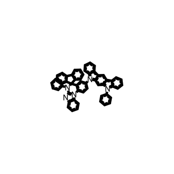 c1ccc(N2c3nc4ccccc4n3-c3ccc(-n4c5ccccc5c5cc6c7ccccc7n(-c7ccccc7)c6cc54)cc3C23c2ccccc2-c2ccccc23)cc1